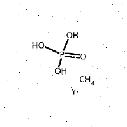 C.O=P(O)(O)O.[Y]